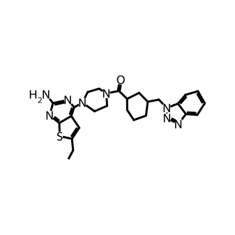 CCc1cc2c(N3CCN(C(=O)C4CCCC(Cn5nnc6ccccc65)C4)CC3)nc(N)nc2s1